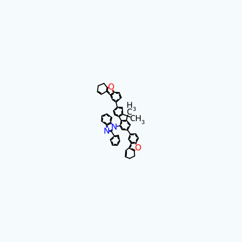 CC1(C)c2cc(-c3ccc4oc5c(c4c3)C=CCC5)ccc2-c2c(-n3c(-c4ccccc4)nc4ccccc43)cc(-c3ccc4oc5c(c4c3)C=CCC5)cc21